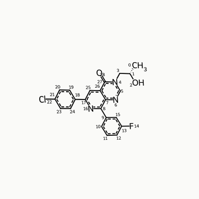 C[C@H](O)Cn1cnc2c(-c3cccc(F)c3)nc(-c3ccc(Cl)cc3)cc2c1=O